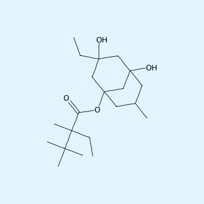 CCC1(O)CC2(O)CC(C)CC(OC(=O)C(C)(CC)C(C)(C)C)(C1)C2